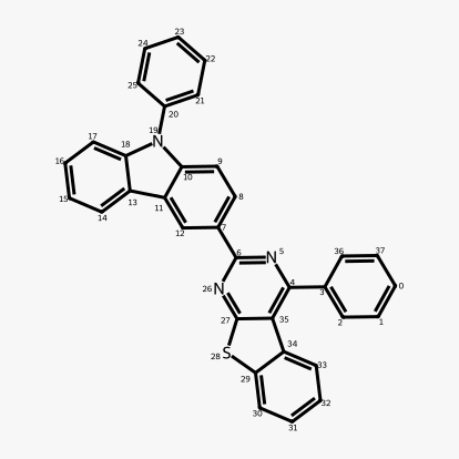 c1ccc(-c2nc(-c3ccc4c(c3)c3ccccc3n4-c3ccccc3)nc3sc4ccccc4c23)cc1